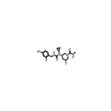 CNC(=O)N1C[C@@H](F)C[C@@H](N(C(=O)NCc2ccc(Br)cc2F)C2CC2)C1